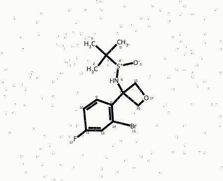 CC(C)(C)[S+]([O-])NC1(c2ccc(F)cc2Br)COC1